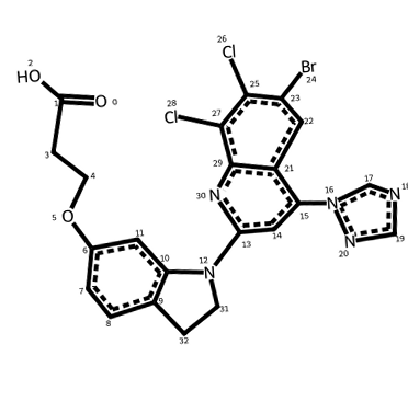 O=C(O)CCOc1ccc2c(c1)N(c1cc(-n3cncn3)c3cc(Br)c(Cl)c(Cl)c3n1)CC2